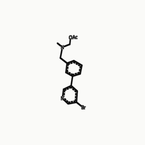 CC(=O)OCN(C)Cc1cccc(-c2cncc(Br)c2)c1